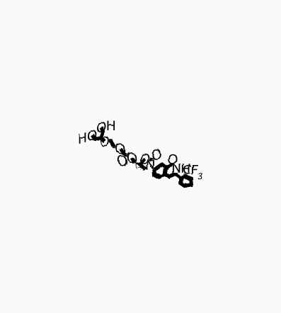 O=C(OCCOC(CO)CO)OC[C@@H]1CN(c2ccc3cc(-c4ccccc4C(F)(F)F)[nH]c(=O)c3c2)C(=O)O1